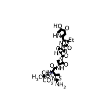 CCn1c(-c2cc(=O)c(O)c[nH]2)nn(S(=O)(=O)NC(=O)N2C[C@H](NC(=O)/C(=N/OC(C)(C)C(=O)O)c3csc(N)n3)C2=O)c1=O